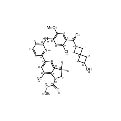 COc1cc(C(=O)N2CC3(CC(O)C3)C2)c(Cl)cc1Nc1nccc(-c2cc(C#N)c3c(c2)C(C)(C)CN3C(=O)OC(C)(C)C)n1